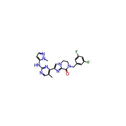 Cc1cnc(Nc2ccnn2C)nc1-c1cn2c(n1)C(=O)N(Cc1cc(F)cc(F)c1)CC2